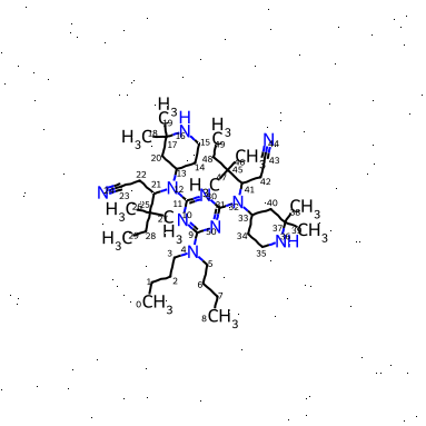 CCCCN(CCCC)c1nc(N(C2CCNC(C)(C)C2)C(CC#N)C(C)(C)CC)nc(N(C2CCNC(C)(C)C2)C(CC#N)C(C)(C)CC)n1